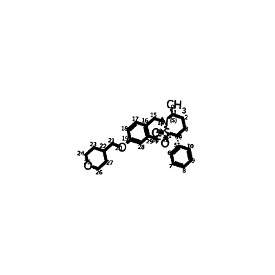 C[C@H]1CC[C@H](c2ccccc2)S(=O)(=O)N1Cc1ccc(OCC2CCOCC2)cc1F